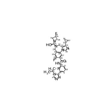 CC(C)n1cnnc1-c1cccc(NC(=O)c2cc3c(cc2F)CN(C(O)N2CC(F)C2)Cc2c(C4CC4)ncn2-3)n1